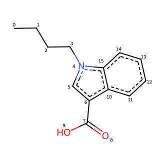 CCCCn1cc(C(=O)O)c2ccccc21